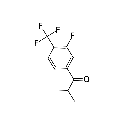 CC(C)C(=O)c1ccc(C(F)(F)F)c(F)c1